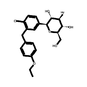 CCOc1ccc(Cc2cc([C@@H]3O[C@H](CO)[C@@H](O)[C@H]([18F])[C@H]3O)ccc2Cl)cc1